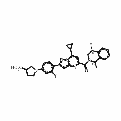 C[C@@H]1c2ccccc2[C@H](F)CN1C(=O)c1cc(C2CC2)n2nc(-c3ccc(N4CCC(C(=O)O)C4)cc3F)cc2n1